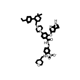 CCc1ccc(C2=C(CN3CCN(c4ccc(C(=O)NSc5ccc(NCC6CCOCC6)c([N+](=O)[O-])c5)c(Oc5cnc6[nH]ccc6c5)c4)CC3)CCC(C)(C)C2)cc1